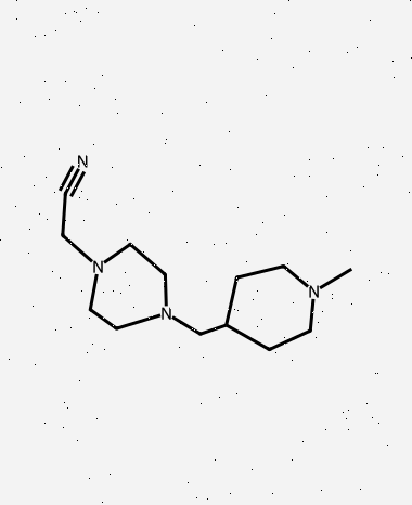 CN1CCC(CN2CCN(CC#N)CC2)CC1